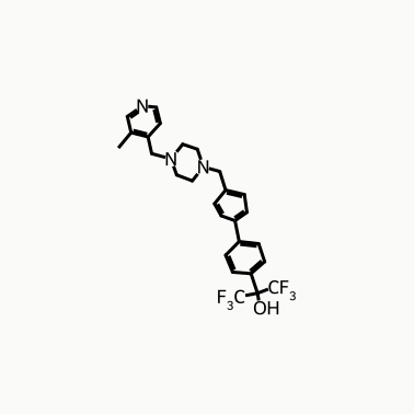 Cc1cnccc1CN1CCN(Cc2ccc(-c3ccc(C(O)(C(F)(F)F)C(F)(F)F)cc3)cc2)CC1